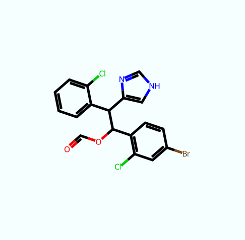 O=COC(c1ccc(Br)cc1Cl)C(c1c[nH]cn1)c1ccccc1Cl